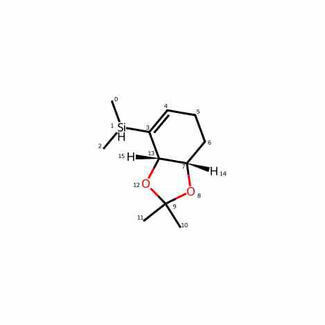 C[SiH](C)C1=CCC[C@@H]2OC(C)(C)O[C@H]12